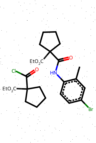 CCOC(=O)C1(C(=O)Cl)CCCC1.CCOC(=O)C1(C(=O)Nc2ccc(Br)cc2C)CCCC1